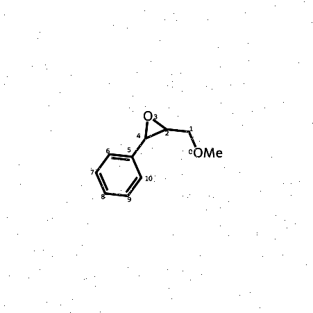 COCC1OC1c1ccccc1